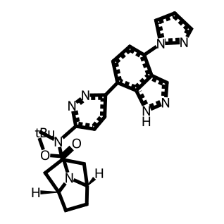 CN(c1ccc(-c2ccc(-n3cccn3)c3cn[nH]c23)nn1)C1C[C@H]2CC[C@@H](C1)N2C(=O)OC(C)(C)C